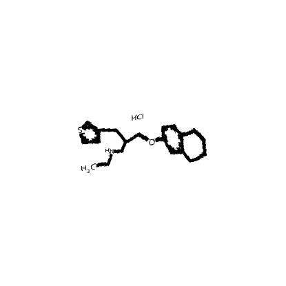 CCNCC(COc1ccc2c(c1)CCCC2)Cc1ccsc1.Cl